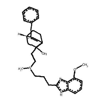 COc1cccc2[nH]c(CCCN(C)CCC3(O)C[C@@H]4CCC3C=C4c3ccccc3)nc12